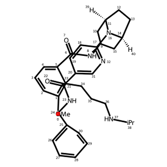 COc1cccc(C(=O)N[C@H]2C[C@H]3CC[C@@H](C2)N3c2ccc(C(=O)NCc3ccccc3)cn2)c1CCCNC(C)C